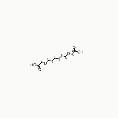 O=C(O)COCCCCCCOCC(=O)O